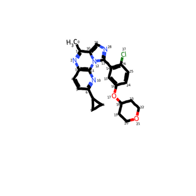 Cc1nc2ccc(C3CC3)nc2n2c(-c3cc(OC4CCOCC4)ccc3Cl)ncc12